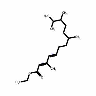 CCOC(=O)/C=C(C)/C=C/CCC(C)CCC(C)C(C)C